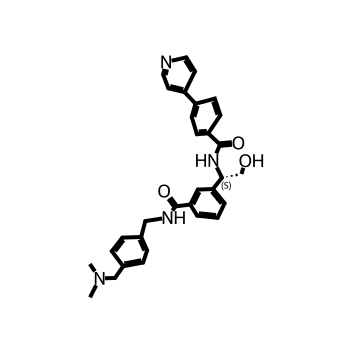 CN(C)Cc1ccc(CNC(=O)c2cccc([C@@H](CO)NC(=O)c3ccc(-c4ccncc4)cc3)c2)cc1